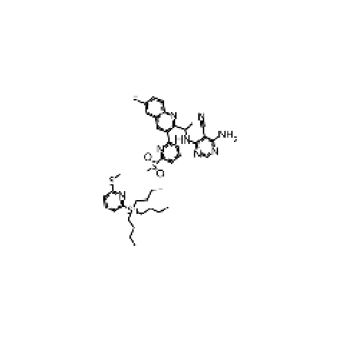 CC(Nc1ncnc(N)c1C#N)c1nc2ccc(F)cc2cc1-c1cccc(S(C)(=O)=O)n1.CCC[CH2][Sn]([CH2]CCC)([CH2]CCC)[c]1cccc(SC)n1